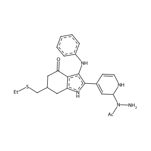 CCSCC1CC(=O)c2c([nH]c(C3=CC(N(N)C(C)=O)NC=C3)c2Nc2ccccc2)C1